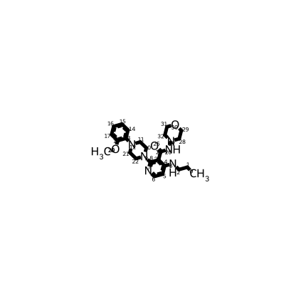 CCCNc1ccnc(N2CCN(c3ccccc3OC)CC2)c1C(=O)NN1CCOCC1